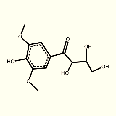 COc1cc(C(=O)C(O)C(O)CO)cc(OC)c1O